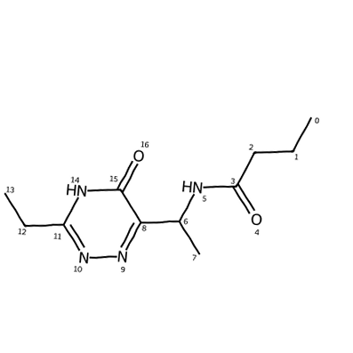 CCCC(=O)NC(C)c1nnc(CC)[nH]c1=O